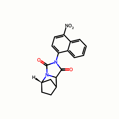 O=C1C2C3CC[C@@H](C3)N2C(=O)N1c1ccc([N+](=O)[O-])c2ccccc12